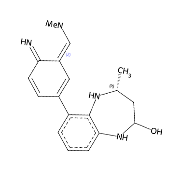 CN/C=C1/C=C(c2cccc3c2N[C@H](C)CC(O)N3)C=CC1=N